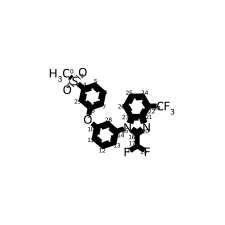 CS(=O)(=O)c1cccc(Oc2cccc(-n3c(C(F)F)nc4c(C(F)(F)F)cccc43)c2)c1